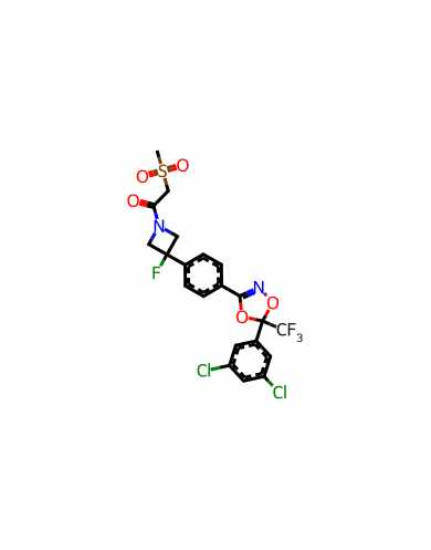 CS(=O)(=O)CC(=O)N1CC(F)(c2ccc(C3=NOC(c4cc(Cl)cc(Cl)c4)(C(F)(F)F)O3)cc2)C1